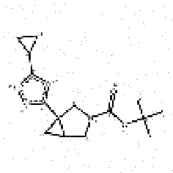 CC(C)(C)OC(=O)N1CC2CC2(c2noc(C3CC3)n2)C1